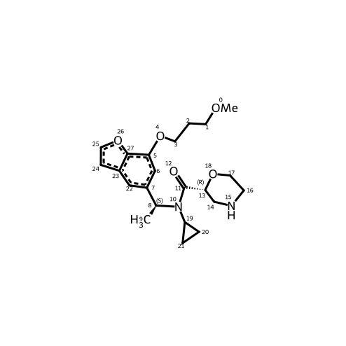 COCCCOc1cc([C@H](C)N(C(=O)[C@H]2CNCCO2)C2CC2)cc2ccoc12